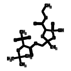 CCOC(=O)C1OC(C)(COC(=O)C(OC(C)(C)C)S(C)(=O)=O)OP1(=O)O